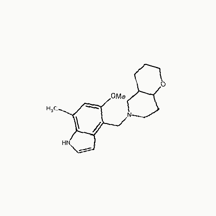 COc1cc(C)c2[nH]ccc2c1CN1CCC2OCCCC2C1